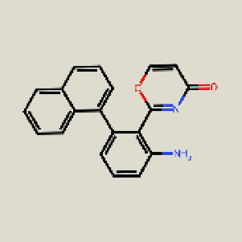 Nc1cccc(-c2cccc3ccccc23)c1-c1nc(=O)cco1